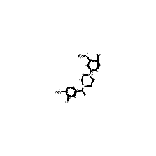 COc1ccc(C(C)N2CCN(c3ccc(Br)c(OC(F)(F)F)c3)CC2)cc1F